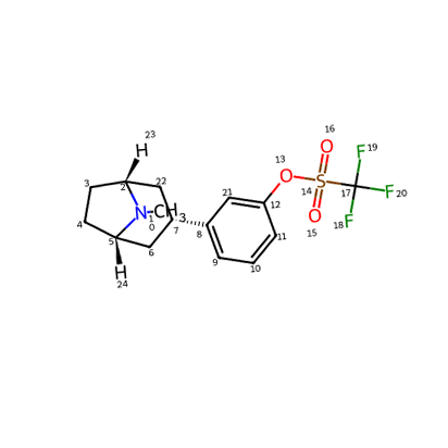 CN1[C@@H]2CC[C@H]1C[C@@H](c1cccc(OS(=O)(=O)C(F)(F)F)c1)C2